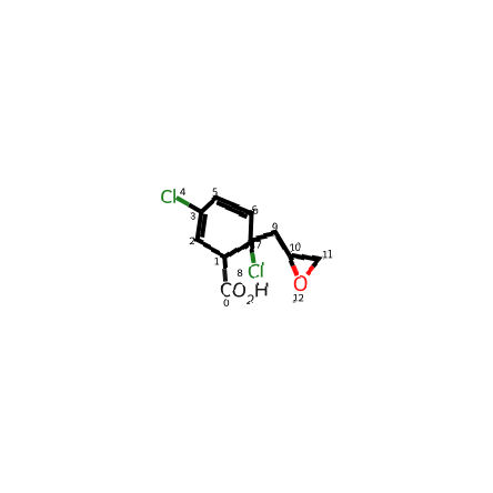 O=C(O)C1C=C(Cl)C=CC1(Cl)CC1CO1